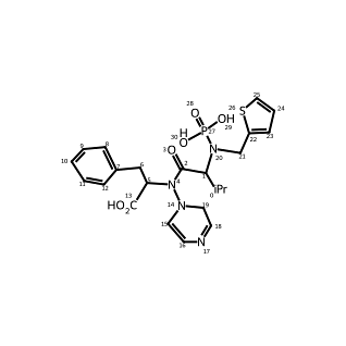 CC(C)C(C(=O)N(C(Cc1ccccc1)C(=O)O)N1C=CN=CC1)N(Cc1cccs1)P(=O)(O)O